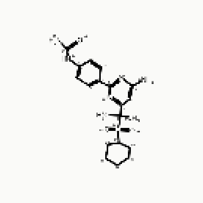 CC(C)(c1cc(N)nc(-c2ccc(NC(N)=O)cc2)n1)S(=O)(=O)C1CCCCC1